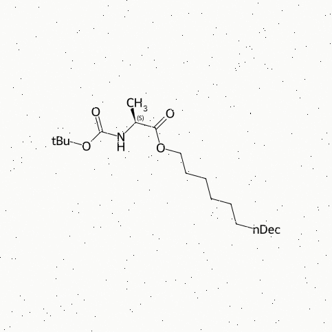 CCCCCCCCCCCCCCCCOC(=O)[C@H](C)NC(=O)OC(C)(C)C